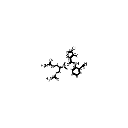 CN(C)C(CSC(N)=O)CSC(N)=O.N#Cc1ccccc1NC(=O)c1snc(Cl)c1Cl